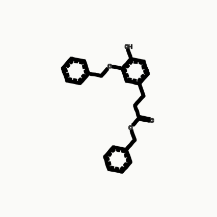 O=C(CCc1ccc(O)c(OCc2ccccc2)c1)OCc1ccccc1